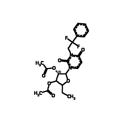 CCC1OC(n2ccc(=O)n(CC(F)(F)c3ccccc3)c2=O)[C@@H](OC(C)=O)C1OC(C)=O